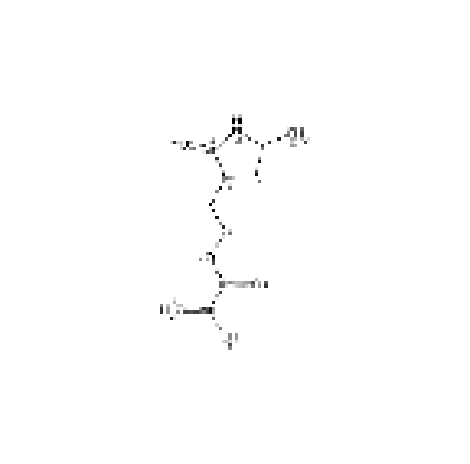 C=C(C)C(=O)OCCN1CC(C)NC1=O